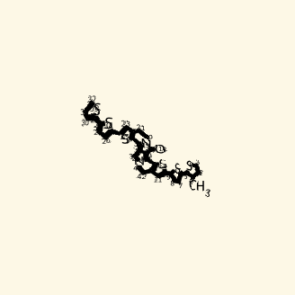 CC1C=CSC1c1ccc(-c2cc3c(s2)C2=C4C(=O)N5C=Cc6cc(-c7ccc(-c8cccs8)s7)sc6C5=C4CN2CC3)s1